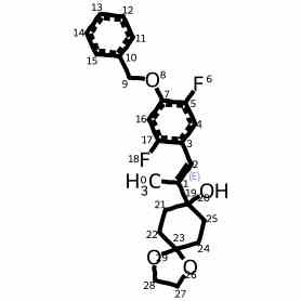 C/C(=C\c1cc(F)c(OCc2ccccc2)cc1F)C1(O)CCC2(CC1)OCCO2